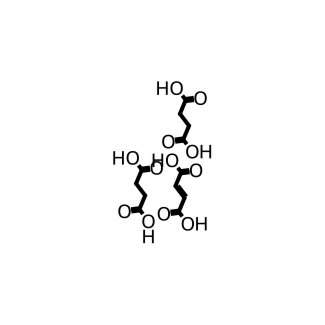 O=C(O)C=CC(=O)O.O=C(O)CCC(=O)O.O=C(O)CCC(=O)O